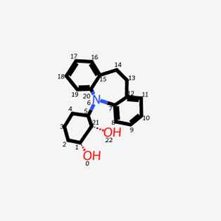 O[C@@H]1CCCC(N2c3ccccc3CCc3ccccc32)[C@@H]1O